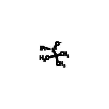 CC(C)[S@+]([O-])C(C)(C)C